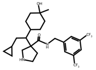 CC1(O)CCC(C(CC2CC2)C2(C(=O)NCc3cc(C(F)(F)F)cc(C(F)(F)F)c3)CCNC2)CC1